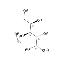 CCO.O=C[C@H](O)[C@@H](O)[C@@H](O)[C@H](O)CO